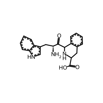 N[C@@H](Cc1c[nH]c2ccccc12)C(=O)C1NC(C(=O)O)Cc2ccccc21